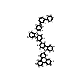 c1ccc(-c2cccc(-c3ccc(-n4c5ccccc5c5cc(-c6ccc7c(c6)c6ccccc6n7-c6ccc(-c7ccccc7-c7ccccc7)cc6)ccc54)cc3)c2)cc1